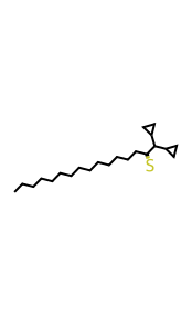 CCCCCCCCCCCCCCC(=S)C(C1CC1)C1CC1